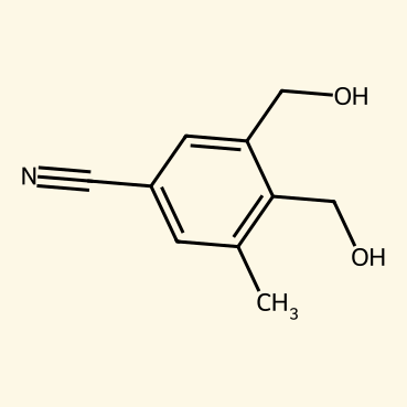 Cc1cc(C#N)cc(CO)c1CO